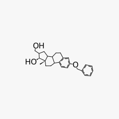 C[C@]12CCC3c4ccc(OCc5ccccc5)cc4CCC3C1CC(CO)[C@@H]2O